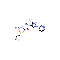 CCN(C(=O)C(C[S+]([O-])CCC(F)(F)F)=NOC)c1cn(-c2cccnc2)nc1C